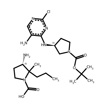 CC(C)(C)OC(=O)N1CC[C@H](Nc2nc(Cl)ncc2N)C1.CCCC1(C)[C@@H](N)CCN1C(=O)O